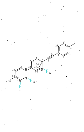 Cc1ccc(C#CC23CCC(c4ccc(C)c(F)c4F)(C=C2F)CC3)cc1